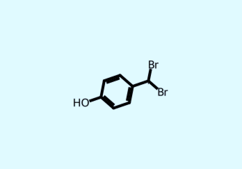 Oc1ccc([C](Br)Br)cc1